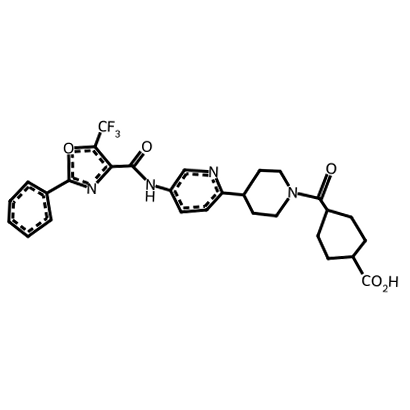 O=C(Nc1ccc(C2CCN(C(=O)C3CCC(C(=O)O)CC3)CC2)nc1)c1nc(-c2ccccc2)oc1C(F)(F)F